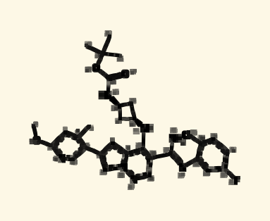 COc1cc(C)c(-c2cc3c(N[C@H]4C[C@@H](NC(=O)OC(C)(C)C)C4)c(/C(N)=N/c4cc(F)ccc4Cl)cnn3c2)cn1